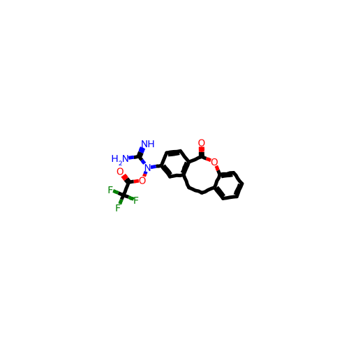 N=C(N)N(OC(=O)C(F)(F)F)c1ccc2c(c1)CCc1ccccc1OC2=O